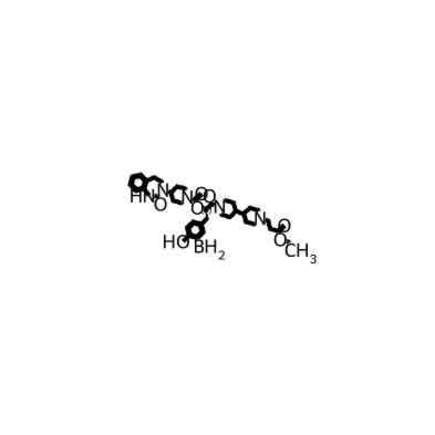 Bc1cc(C[C@@H](OC(=O)N2CCC(N3CCc4ccccc4NC3=O)CC2)C(=O)N2CCC(C3CCN(CCC(=O)OCC)CC3)CC2)ccc1O